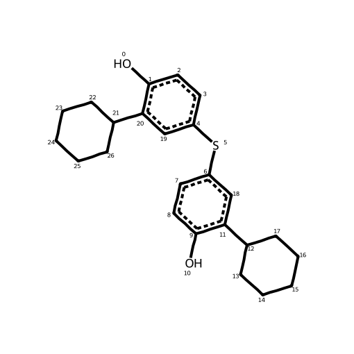 Oc1ccc(Sc2ccc(O)c(C3CCCCC3)c2)cc1C1CCCCC1